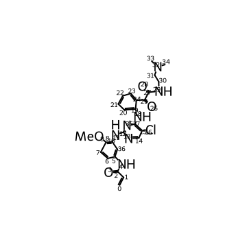 C=CC(=O)Nc1ccc(OC)c(Nc2ncc(Cl)c(Nc3ccccc3C(=O)C(=O)NCCN(C)C)n2)c1